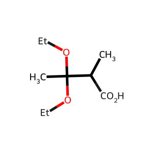 CCOC(C)(OCC)C(C)C(=O)O